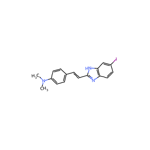 CN(C)c1ccc(C=Cc2nc3ccc(I)cc3[nH]2)cc1